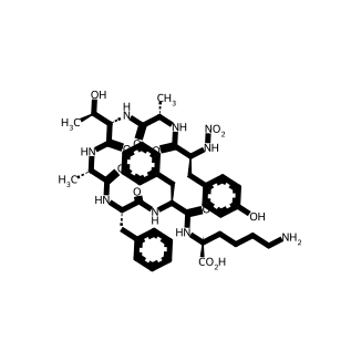 C[C@H](NC(=O)[C@H](Cc1ccc(O)cc1)N[N+](=O)[O-])C(=O)N[C@H](C(=O)N[C@@H](C)C(=O)N[C@@H](Cc1ccccc1)C(=O)N[C@@H](Cc1ccccc1)C(=O)N[C@@H](CCCCN)C(=O)O)[C@@H](C)O